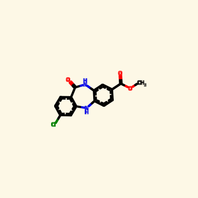 COC(=O)c1ccc2c(c1)NC(=O)c1ccc(Cl)cc1N2